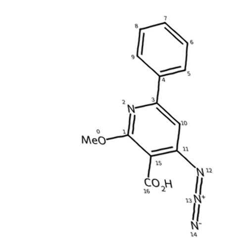 COc1nc(-c2ccccc2)cc(N=[N+]=[N-])c1C(=O)O